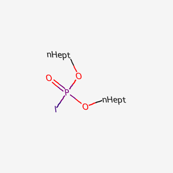 CCCCCCCOP(=O)(I)OCCCCCCC